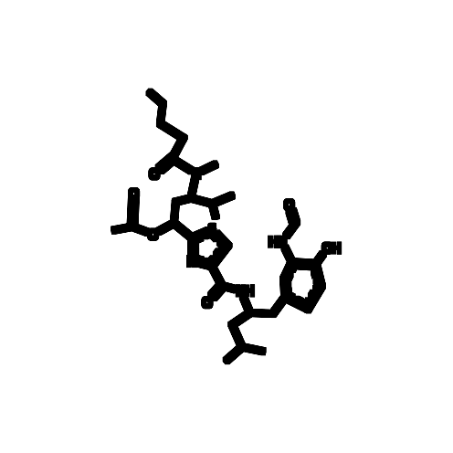 CCCCC(=O)N(C)C(CC(OC(C)=O)c1nc(C(=O)NC(Cc2ccc(O)c(NC=O)c2)CC(C)C)cs1)C(C)C